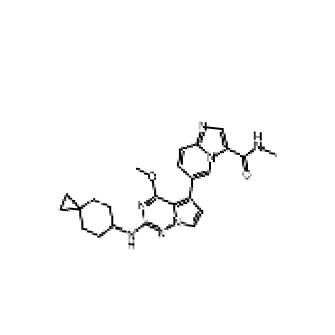 CNC(=O)c1cnc2ccc(-c3ccn4nc(NC5CCC6(CC5)CC6)nc(OC)c34)cn12